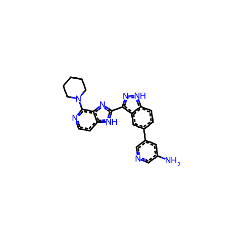 Nc1cncc(-c2ccc3[nH]nc(-c4nc5c(N6CCCCC6)nccc5[nH]4)c3c2)c1